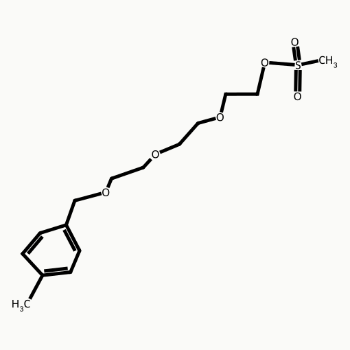 Cc1ccc(COCCOCCOCCOS(C)(=O)=O)cc1